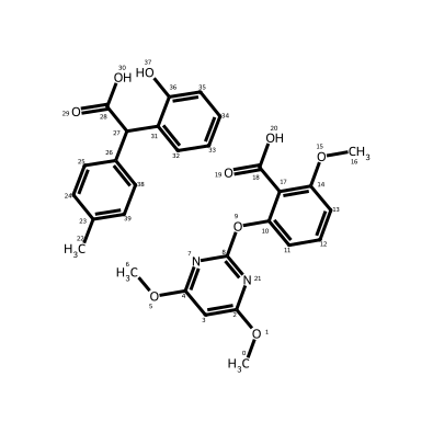 COc1cc(OC)nc(Oc2cccc(OC)c2C(=O)O)n1.Cc1ccc(C(C(=O)O)c2ccccc2O)cc1